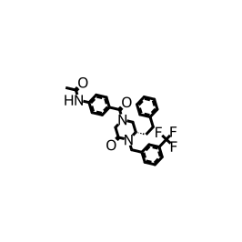 CC(=O)Nc1ccc(C(=O)N2CC(=O)N(Cc3cccc(C(F)(F)F)c3)[C@@H](CCc3ccccc3)C2)cc1